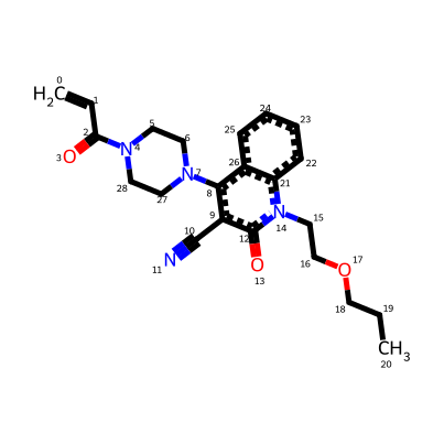 C=CC(=O)N1CCN(c2c(C#N)c(=O)n(CCOCCC)c3ccccc23)CC1